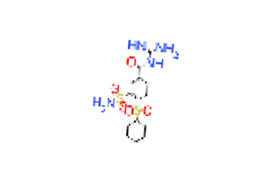 N=C(N)NC(=O)c1ccc(S(=O)(=O)C2CCCCC2)c(S(N)(=O)=O)c1